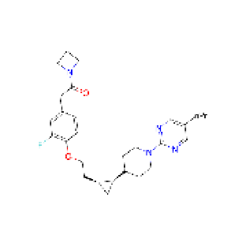 CCCc1cnc(N2CCC([C@H]3C[C@H]3CCOc3ccc(CC(=O)N4CCC4)cc3F)CC2)nc1